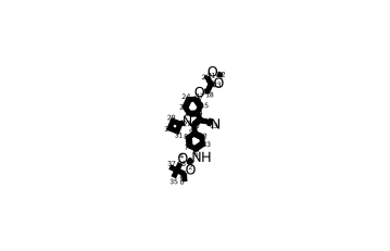 CC(OC(=O)Nc1ccc(-c2c(C#N)c3cc(OCC4COCO4)ccc3n2C2CCC2)cc1)C(C)(C)C